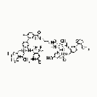 Cc1ncsc1-c1ccc(CNC(=O)[C@@H]2C[C@@H](O)CN2C(=O)C(NC(=O)CCCCNC(=O)c2ccc(F)c(-c3ccc(N4C[C@@H](C)N(C)[C@@H](C)C4)c(NC(=O)c4c[nH]c(=O)cc4C(F)(F)F)c3)c2)C(C)(C)C)cc1